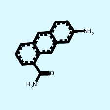 NC(=O)c1cccc2cc3ccc(N)cc3cc12